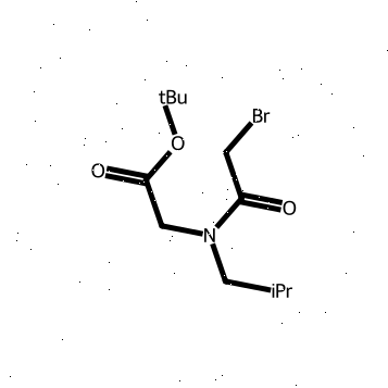 CC(C)CN(CC(=O)OC(C)(C)C)C(=O)CBr